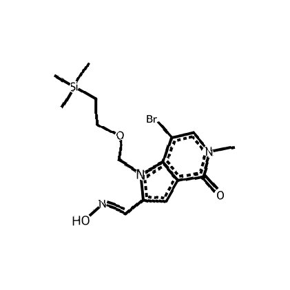 Cn1cc(Br)c2c(cc(/C=N/O)n2COCC[Si](C)(C)C)c1=O